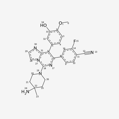 COc1ccc(-c2c(-c3ccc(C#N)c(F)c3)nc(N3CCC(C)(N)CC3)n3ccnc23)cc1O